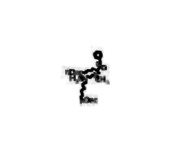 CCCCCCCCCCCCCCCCN(C)CCCN(C)CC(CCCCCCCCCCCCCC)C(=O)OCc1ccccc1